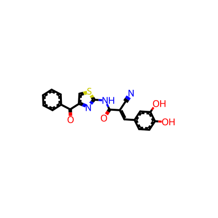 N#C/C(=C\c1ccc(O)c(O)c1)C(=O)Nc1nc(C(=O)c2ccccc2)cs1